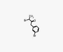 CC(Br)C(=O)Cc1cccc(Br)c1